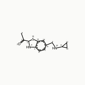 CC(=O)C1Nc2ccc(CNC3CC3)cc2S1